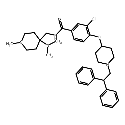 CN1CCC(CNC(=O)c2ccc(OC3CCN(CC(c4ccccc4)c4ccccc4)CC3)c(Cl)c2)(N(C)C)CC1